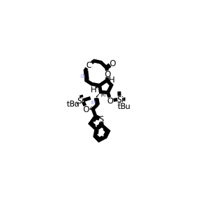 CC(C)(C)[Si](C)(C)OC1C[C@@H]2OC(=O)CCC/C=C\C[C@@H]2[C@H]1/C=C/[C@@H](O[Si](C)(C)C(C)(C)C)c1cc2ccccc2s1